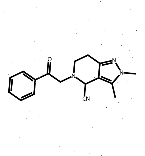 Cc1c2c(nn1C)CCN(CC(=O)c1ccccc1)C2C#N